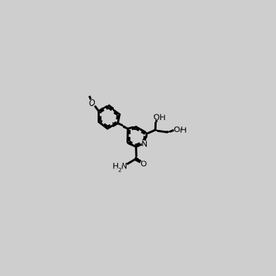 COc1ccc(-c2cc(C(N)=O)nc(C(O)CO)c2)cc1